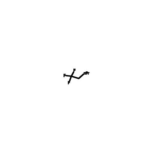 CCCCC(F)(F)F